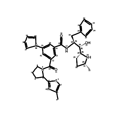 Cc1csc(C2CCCN2C(=O)c2cc(C(=O)N[C@@H](Cc3ccccc3)[C@H](O)[C@H]3CC[C@@H](C)N3)cc(-n3cccc3)c2)n1